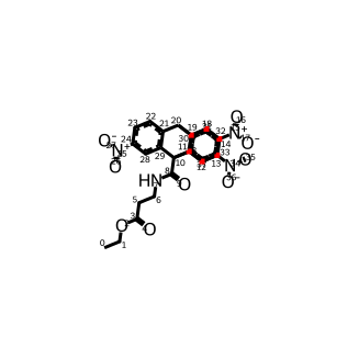 CCOC(=O)CCNC(=O)C12c3ccc([N+](=O)[O-])cc3C(c3ccc([N+](=O)[O-])cc31)c1ccc([N+](=O)[O-])cc12